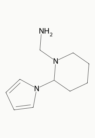 NCN1CCCCC1n1cccc1